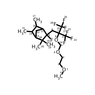 COCCOCOC(CC1(F)C2CC(C(C)C2C)C1(C)C)(C(F)(F)F)C(F)(F)F